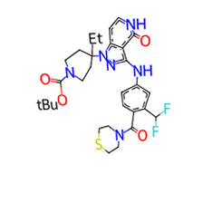 CCC1(n2nc(Nc3ccc(C(=O)N4CCSCC4)c(C(F)F)c3)c3c(=O)[nH]ccc32)CCN(C(=O)OC(C)(C)C)CC1